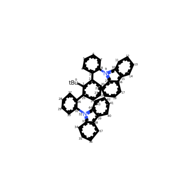 CC(C)(C)c1c(-c2ccccc2-n2c3ccccc3c3ccccc32)cccc1-c1ccccc1-n1c2ccccc2c2ccccc21